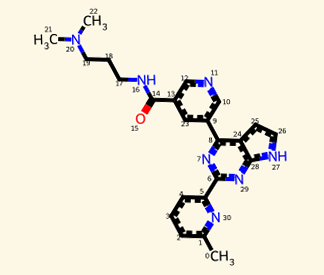 Cc1cccc(-c2nc(-c3cncc(C(=O)NCCCN(C)C)c3)c3cc[nH]c3n2)n1